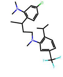 CC(C)c1ccc(C(F)(F)F)cc1N(C)CCC(C)c1ccc(Cl)cc1N(C)C